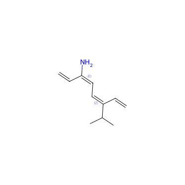 C=C/C(=C\C=C(\N)C=C)C(C)C